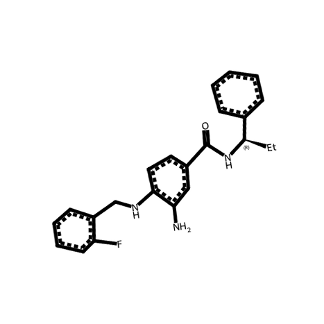 CC[C@@H](NC(=O)c1ccc(NCc2ccccc2F)c(N)c1)c1ccccc1